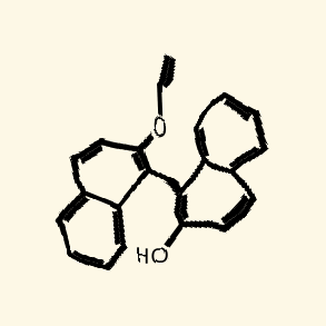 C=COc1ccc2ccccc2c1-c1c(O)ccc2ccccc12